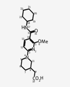 COc1nc(N2CCCC(CC(=O)O)C2)ccc1C(=O)NC1CCCCC1